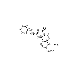 COc1ccc2c(c1OC)CCn1c-2cc(NCC2CCCCO2)cc1=O